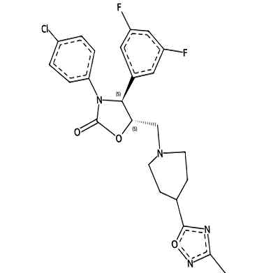 Cc1noc(C2CCN(C[C@@H]3OC(=O)N(c4ccc(Cl)cc4)[C@H]3c3cc(F)cc(F)c3)CC2)n1